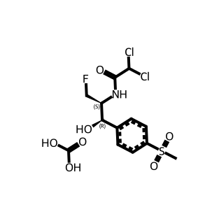 CS(=O)(=O)c1ccc([C@@H](O)[C@@H](CF)NC(=O)C(Cl)Cl)cc1.O=C(O)O